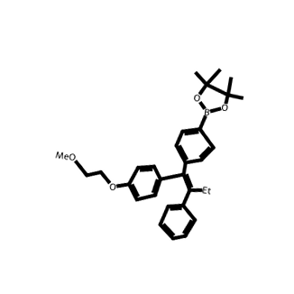 CCC(=C(c1ccc(OCCOC)cc1)c1ccc(B2OC(C)(C)C(C)(C)O2)cc1)c1ccccc1